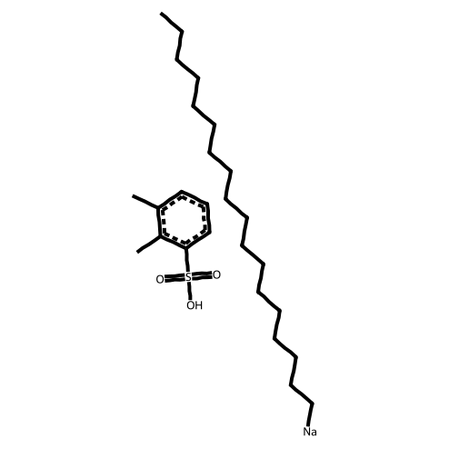 CCCCCCCCCCCCCCCCC[CH2][Na].Cc1cccc(S(=O)(=O)O)c1C